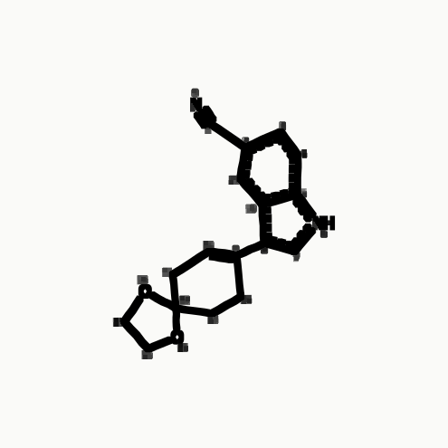 N#Cc1ccc2[nH]cc(C3=CCC4(CC3)OCCO4)c2c1